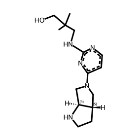 CC(C)(CO)CNc1nccc(N2C[C@@H]3CCN[C@H]3C2)n1